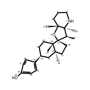 C[C@@H]1[C@@H]2NCCC[C@H]2O[C@]12CC[C@H]1C[C@@H](c3ccc(O)cc3)CC[C@@]12C